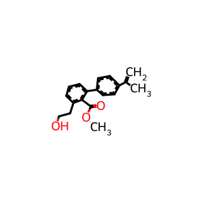 C=C(C)c1ccc(-c2cccc(CCO)c2C(=O)OC)cc1